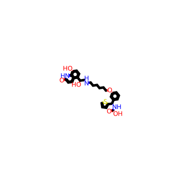 O=C(O)NC(c1cccc(OCCCCCCNC[C@@H](O)c2ccc(O)c3[nH]c(=O)ccc23)c1)c1cccs1